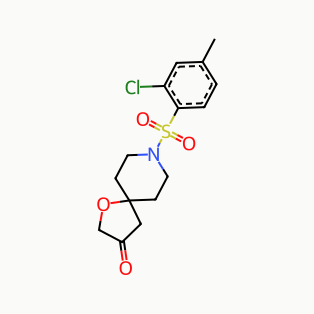 Cc1ccc(S(=O)(=O)N2CCC3(CC2)CC(=O)CO3)c(Cl)c1